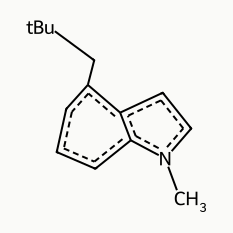 Cn1ccc2c(CC(C)(C)C)cccc21